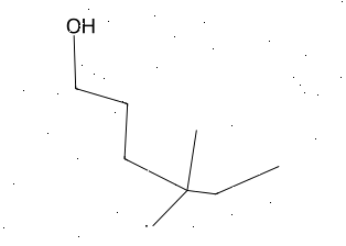 [CH2]C(C)(CC)CCCO